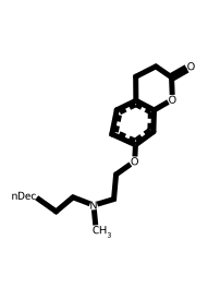 CCCCCCCCCCCCN(C)CCOc1ccc2c(c1)OC(=O)CC2